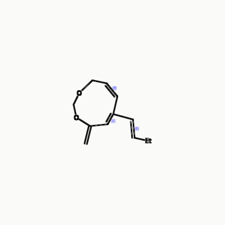 C=C1/C=C(/C=C/CC)\C=C/COCO1